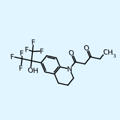 CCC(=O)CC(=O)N1CCCc2cc(C(O)(C(F)(F)F)C(F)(F)F)ccc21